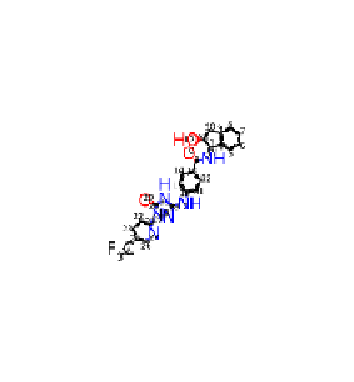 O=C(N[C@@H]1c2ccccc2C[C@@H]1O)c1ccc(Nc2nn(-c3ccc(C(F)(F)F)cn3)c(=O)[nH]2)cc1